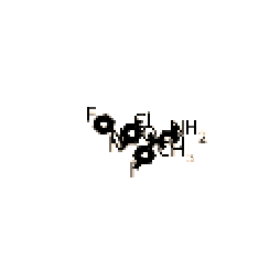 CC(CC(N)=O)C(Oc1cc2cnn(-c3ccc(F)cc3)c2cc1Cl)c1ccc(F)cc1